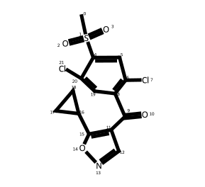 CS(=O)(=O)c1cc(Cl)c(C(=O)c2cnoc2C2CC2)cc1Cl